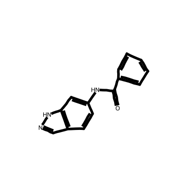 O=C(Nc1ccc2cn[nH]c2c1)c1ccccc1